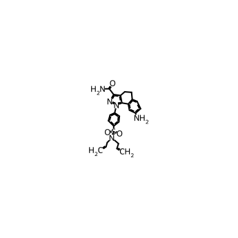 C=CCN(CC=C)S(=O)(=O)c1ccc(-n2nc(C(N)=O)c3c2-c2cc(N)ccc2CC3)cc1